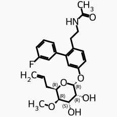 C=CC[C@H]1O[C@H](Oc2ccc(CCNC(C)=O)c(-c3cccc(F)c3)c2)[C@H](O)[C@H](O)[C@H]1OC